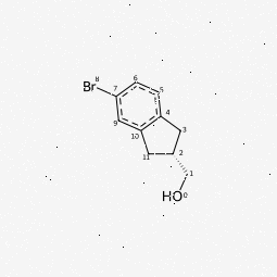 OC[C@H]1Cc2ccc(Br)cc2C1